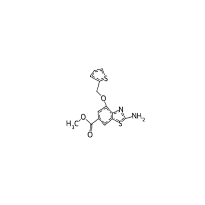 COC(=O)c1cc(OCc2cccs2)c2nc(N)sc2c1